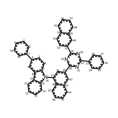 c1ccc(-c2ccc3c(c2)c2ccccc2n3-c2cc(-c3nc(-c4ccccc4)nc(-c4ccc5ccccc5c4)n3)cc3ccccc23)cc1